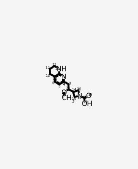 COC(Cc1ccc2c(n1)NCCC2)C1CN(C(=O)O)C1